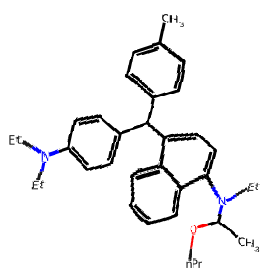 CCCOC(C)N(CC)c1ccc(C(c2ccc(C)cc2)c2ccc(N(CC)CC)cc2)c2ccccc12